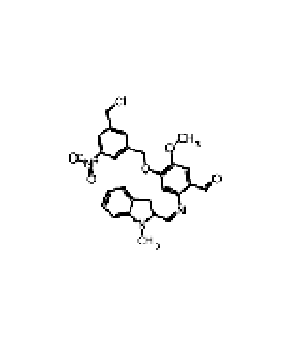 COc1cc(C=O)c(/N=C\C2Cc3ccccc3N2C)cc1OCc1cc(CCl)cc([N+](=O)[O-])c1